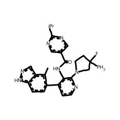 Cc1c(-c2ccnc(N3CCC(F)(P)C3)c2NC(=O)c2cnc(C(C)C)nc2)ccc2[nH]ncc12